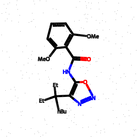 CCCCC(CC)(CC)c1nnoc1NC(=O)c1c(OC)cccc1OC